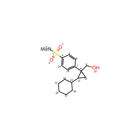 CNS(=O)(=O)c1ccc(C2(CO)CC2C2CCCCC2)cc1